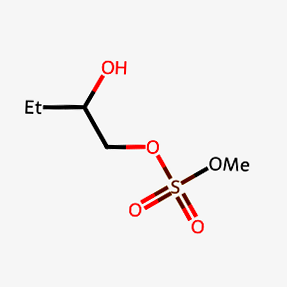 CCC(O)COS(=O)(=O)OC